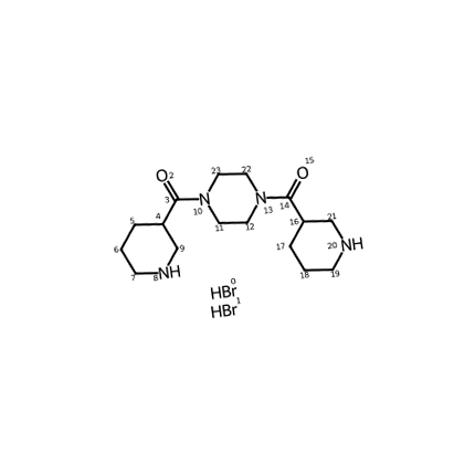 Br.Br.O=C(C1CCCNC1)N1CCN(C(=O)C2CCCNC2)CC1